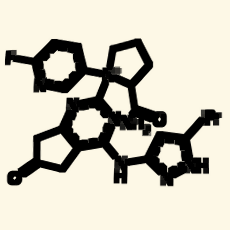 CC(C)c1cc(Nc2nc([N+]3(c4ccc(F)nc4)CCCC3C(N)=O)nc3c2CC(=O)C3)n[nH]1